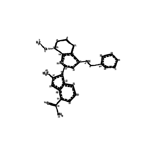 CO[C@@H]1CCCc2c(NCc3ccccc3)nc(-n3c(C)cc4c(C(N)=O)cccc43)nc21